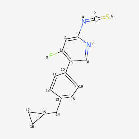 Fc1cc(N=C=S)ncc1-c1ccc(CC2CC2)cc1